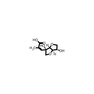 CC(=C[C@@]1(O)CO[C@@H]2[C@H](O)CO[C@@H]21)C(=O)O